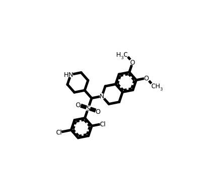 COc1cc2c(cc1OC)CN(C(C1CCNCC1)S(=O)(=O)c1cc(Cl)ccc1Cl)CC2